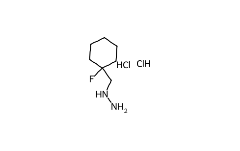 Cl.Cl.NNCC1(F)CCCCC1